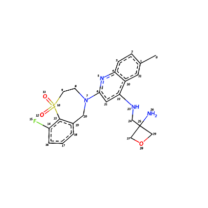 Cc1ccc2nc(N3CCS(=O)(=O)c4c(F)cccc4C3)cc(NCC3(N)COC3)c2c1